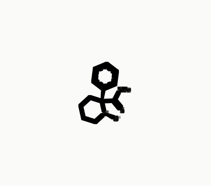 CNC(=S)[C@@]1(c2ccccc2)CCCC[S@+]1[O-]